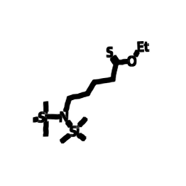 CCOC(=S)CCCCN([Si](C)(C)C)[Si](C)(C)C